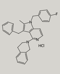 Cc1c(Cc2ccccc2)c2c(N3CCc4ccccc4C3)nccc2n1Cc1ccc(F)cc1.Cl